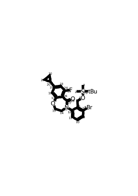 CC(C)(C)[Si](C)(C)OCc1c(Br)cccc1N1CCOc2cc(C3CC3)cc(F)c2C1=O